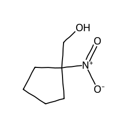 O=[N+]([O-])C1(CO)CCCC1